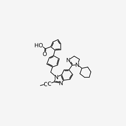 CCCc1nc2ccc(C3=NCCN3C3CCCCC3)cc2n1Cc1ccc(-c2ccccc2C(=O)O)cc1